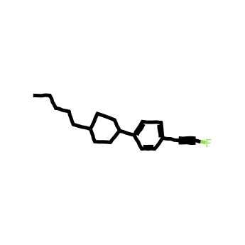 CCCCCC1CCC(c2ccc(C#CF)cc2)CC1